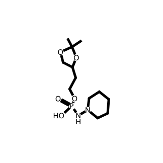 CC1(C)OCC(CCOP(=O)(O)NN2CCCCC2)O1